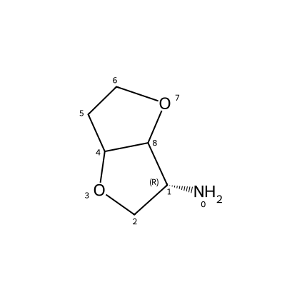 N[C@@H]1COC2CCOC21